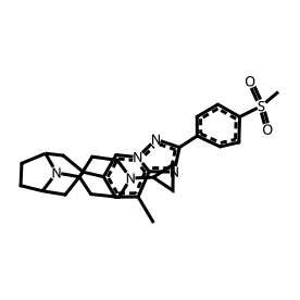 Cc1cc(C2CC3CCC(C2)N3C2CCN(C3CC3)CC2)cn2nc(-c3ccc(S(C)(=O)=O)cc3)nc12